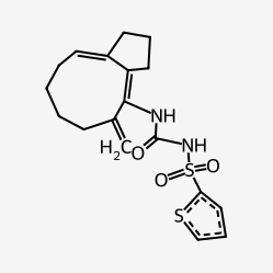 C=C1CCCC/C=C2/CCC/C2=C/1NC(=O)NS(=O)(=O)c1cccs1